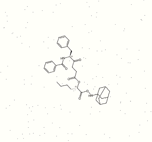 CCCC[C@H](OC(=O)CCC(=O)[C@H](Cc1ccccc1)NC(=O)c1ccccc1)C(=O)ONC12CC3CC(CC(C3)C1)C2